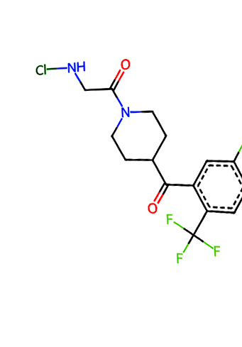 O=C(c1cc(F)ccc1C(F)(F)F)C1CCN(C(=O)CNCl)CC1